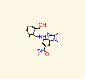 Cc1cccc(CO)c1CNc1cc(C(=O)N(C)C)cc2c1nc(C)n2C